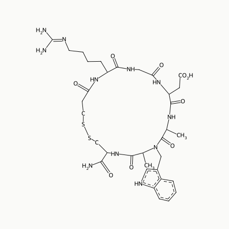 CC1NC(=O)C(CC(=O)O)NC(=O)CNC(=O)C(CCCCN=C(N)N)NC(=O)CCSSCC(C(N)=O)NC(=O)C(C)N(Cc2c[nH]c3ccccc23)C1=O